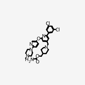 CN1CCN(c2ccc(Oc3cc(CN4CCC(COC(N)=O)CC4)cc(-c4cc(Cl)cc(Cl)c4)n3)cn2)CC1